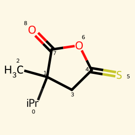 CC(C)C1(C)CC(=S)OC1=O